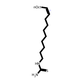 CCCCCCCC/C=C\CCCCCCCCNC(N)=S